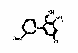 N=Cc1c(N)cc(Cl)cc1N1CCCC(N=O)C1